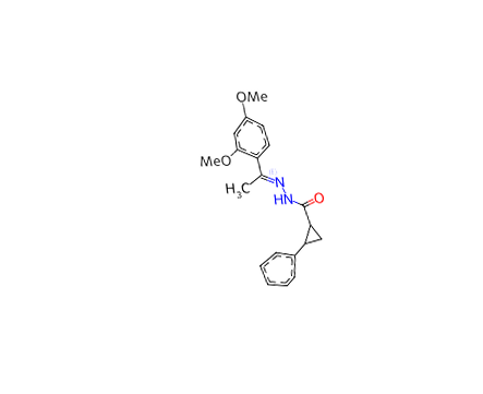 COc1ccc(/C(C)=N/NC(=O)C2CC2c2ccccc2)c(OC)c1